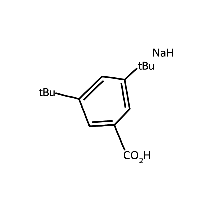 CC(C)(C)c1cc(C(=O)O)cc(C(C)(C)C)c1.[NaH]